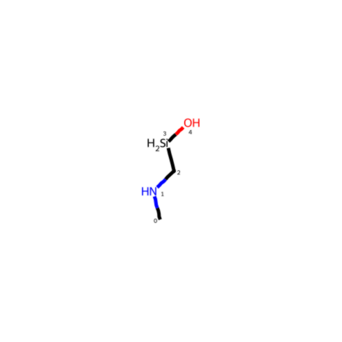 CNC[SiH2]O